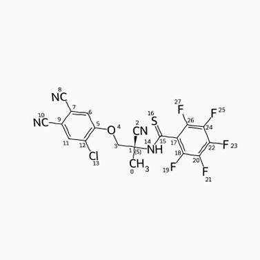 C[C@](C#N)(COc1cc(C#N)c(C#N)cc1Cl)NC(=S)c1c(F)c(F)c(F)c(F)c1F